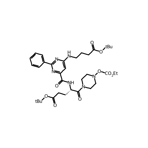 CCOC(=O)ON1CCN(C(=O)[C@H](CCC(=O)OC(C)(C)C)NC(=O)c2cc(NCCCC(=O)OC(C)(C)C)nc(-c3ccccc3)n2)CC1